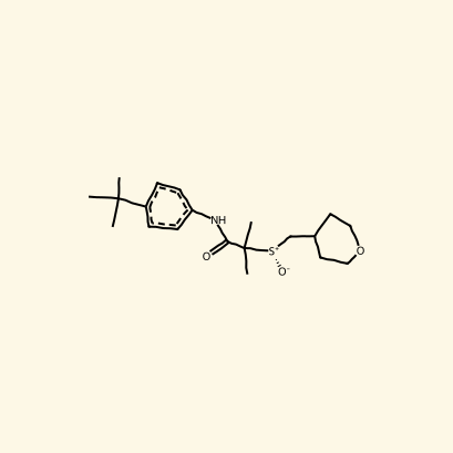 CC(C)(C)c1ccc(NC(=O)C(C)(C)[S@@+]([O-])CC2CCOCC2)cc1